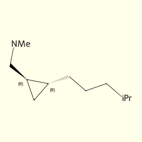 CNC[C@@H]1C[C@H]1CCCC(C)C